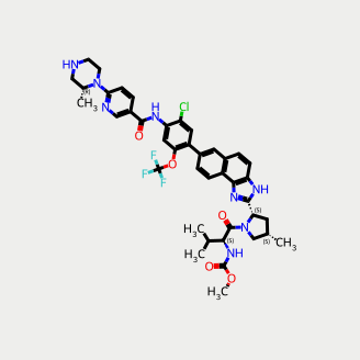 COC(=O)N[C@H](C(=O)N1C[C@@H](C)C[C@H]1c1nc2c(ccc3cc(-c4cc(Cl)c(NC(=O)c5ccc(N6CCNC[C@H]6C)nc5)cc4OC(F)(F)F)ccc32)[nH]1)C(C)C